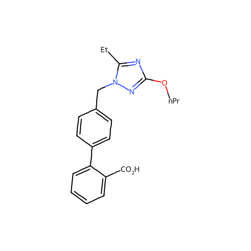 CCCOc1nc(CC)n(Cc2ccc(-c3ccccc3C(=O)O)cc2)n1